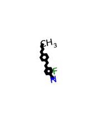 CCCCC1CCC(CCc2ccc(C#N)c(F)c2)CC1